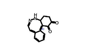 O=C1CCC2NN=CC=c3cccc/c3=C/2C1=O